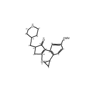 COc1ccc(C2CC2)c(C2=C(O)CC(CC3CCOCC3)C2=O)c1